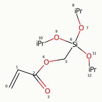 C=CC(=O)OC[Si](OC(C)C)(OC(C)C)OC(C)C